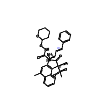 CCC[C@](C(=O)NN)(c1c([C@H](C/C=C/c2ccccc2)C(=O)NOC2CCCCO2)cc(C)c2ccccc12)S(C)(=O)=O